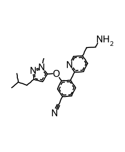 CC(C)Cc1cc(Oc2cc(C#N)ccc2-c2ccc(CCN)cn2)n(C)n1